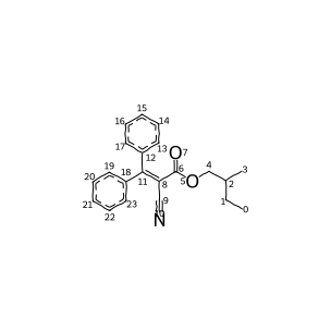 CCC(C)COC(=O)C(C#N)=C(c1ccccc1)c1ccccc1